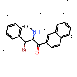 CNC(C(=O)c1ccc2ccccc2c1)C(Br)c1ccccc1